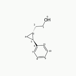 OCC[C@H]1C[C@@H]1c1ccccc1